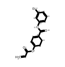 C=CC(=O)OC1=CC=C(C(=O)Oc2cccc(CC)c2)CC1